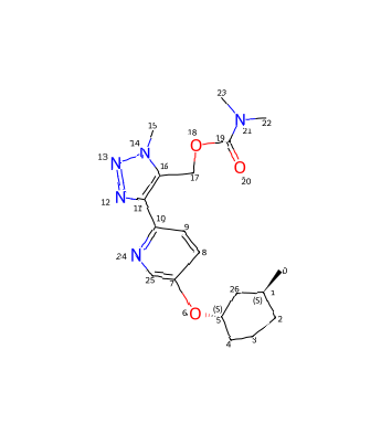 C[C@H]1CCC[C@H](Oc2ccc(-c3nnn(C)c3COC(=O)N(C)C)nc2)C1